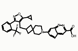 O=C(O)c1cc2ccc(N3CCC4(CC3)CC(Cc3c(-c5ccccc5C(F)(F)F)noc3C3CC3)C4)cc2nn1